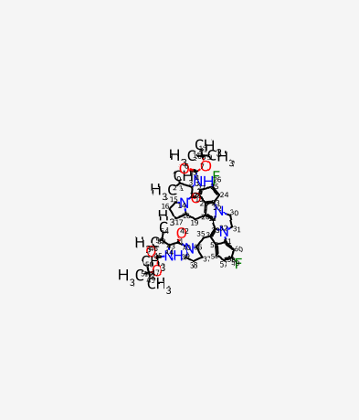 CC(C)C(NC(=O)OC(C)(C)C)C(=O)N1CCCC1Cc1c2n(c3cc(F)ccc13)CCn1c-2c(CC2CCCN2C(=O)C(NC(=O)OC(C)(C)C)C(C)C)c2ccc(F)cc21